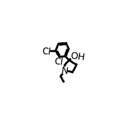 CCN1CCC(O)(c2cccc(Cl)c2Cl)C1